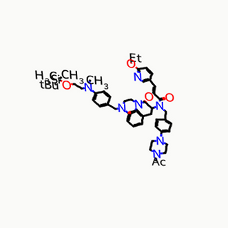 CCOc1ccc(C=CC(=O)N(Cc2ccc(N3CCN(C(C)=O)CC3)cc2)C(Cc2ccccc2)C(=O)N2CCN(Cc3ccc(N(C)CCO[Si](C)(C)C(C)(C)C)cc3)CC2)cn1